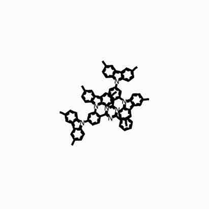 Cc1ccc2c(c1)c1cc(C)ccc1n2-c1ccc(-c2nc(-c3ccccc3)nc(-c3ccc(-n4c5ccc(C)cc5c5cc(C)ccc54)cc3-n3c4ccc(C)cc4c4cc(C)ccc43)n2)c(-n2c3ccc(C)cc3c3cc(C)ccc32)c1